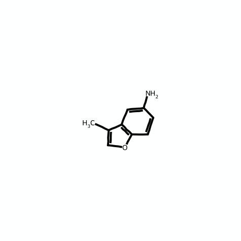 Cc1coc2ccc(N)cc12